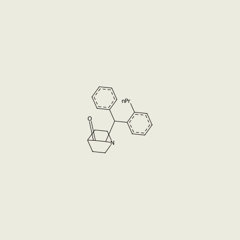 CCCc1ccccc1C(c1ccccc1)C1C(=O)C2CCN1CC2